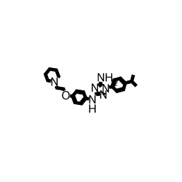 CC(C)c1ccc(-n2nc(Nc3ccc(OCCN4CCCCC4)cc3)nc2N)cc1